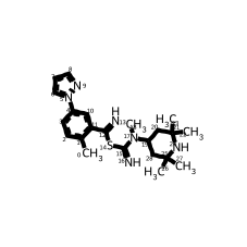 Cc1ccc(-n2cccn2)cc1C(=N)SC(=N)N(C)C1CC(C)(C)NC(C)(C)C1